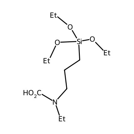 CCO[Si](CCCN(CC)C(=O)O)(OCC)OCC